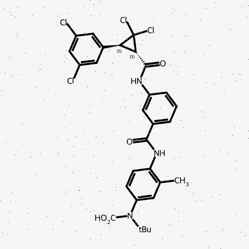 Cc1cc(N(C(=O)O)C(C)(C)C)ccc1NC(=O)c1cccc(NC(=O)[C@@H]2[C@@H](c3cc(Cl)cc(Cl)c3)C2(Cl)Cl)c1